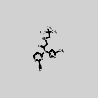 Cc1cc(N(C(=O)CNCC(C)(C)C)c2ccnc(C#N)n2)no1